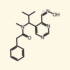 CC(C)C(c1cncnc1/C=N\O)N(C)C(=O)Cc1ccccc1